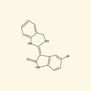 O=C1Nc2ccc(Br)cc2/C1=C1\NCc2ccccc2N1